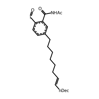 CCCCCCCCCCC=CCCCCCCc1ccc(I=O)c(C(=O)NC(C)=O)c1